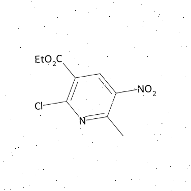 CCOC(=O)c1cc([N+](=O)[O-])c(C)nc1Cl